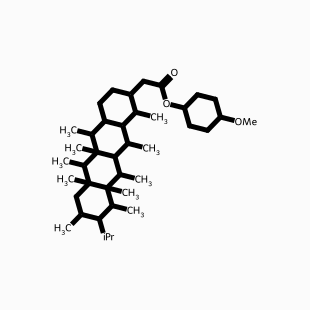 COC1CCC(OC(=O)CC2CCC3C(C2C)C(C)C2C(C)C4(C)C(C)C(C(C)C)C(C)CC4(C)C(C)C2(C)C3C)CC1